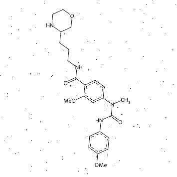 COc1ccc(NC(=O)N(C)c2ccc(C(=O)NCCCC3COCCN3)c(OC)c2)cc1